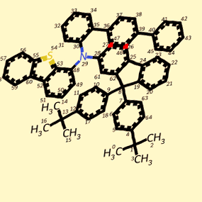 CC(C)(C)c1ccc(C2(c3ccc(C(C)(C)C)cc3)c3ccccc3-c3ccc(N(c4ccccc4-c4ccc(-c5ccccc5)cc4)c4cccc5c4sc4ccccc45)cc32)cc1